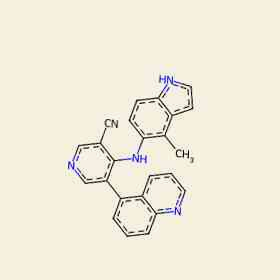 Cc1c(Nc2c(C#N)cncc2-c2cccc3ncccc23)ccc2[nH]ccc12